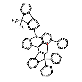 CC1(C)c2ccccc2-c2ccc(N(c3ccc(-c4ccccc4)cc3)c3ccccc3C3=CCCC4=C3c3ccccc3C4(c3ccccc3)c3ccccc3)cc21